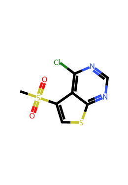 CS(=O)(=O)c1csc2ncnc(Cl)c12